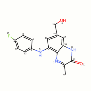 Cc1nc2c(Nc3ccc(F)cc3)cc(CO)cc2[nH]c1=O